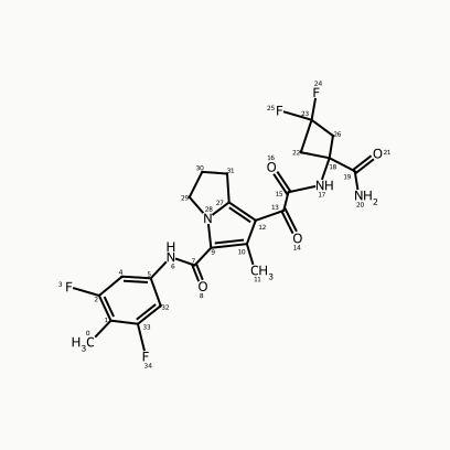 Cc1c(F)cc(NC(=O)c2c(C)c(C(=O)C(=O)NC3(C(N)=O)CC(F)(F)C3)c3n2CCC3)cc1F